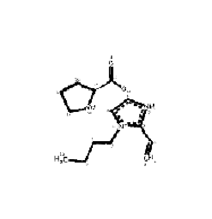 C=Cc1[nH]cc[n+]1CCCC.O=C([O-])[C@@H]1CCCN1